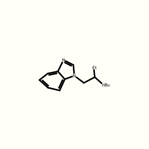 CCCCC(CC)Cn1cnc2ccccc21